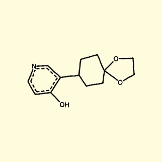 Oc1ccncc1C1CCC2(CC1)OCCO2